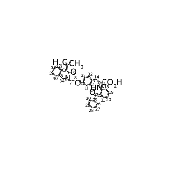 CC(C)=CC(=O)N(CCOc1ccc(C[C@H](Nc2ccccc2C(=O)c2ccccc2)C(=O)O)cc1)Cc1ccccc1